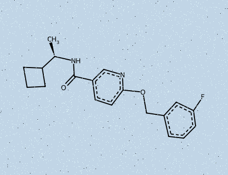 C[C@@H](NC(=O)c1ccc(OCc2cccc(F)c2)nc1)C1CCC1